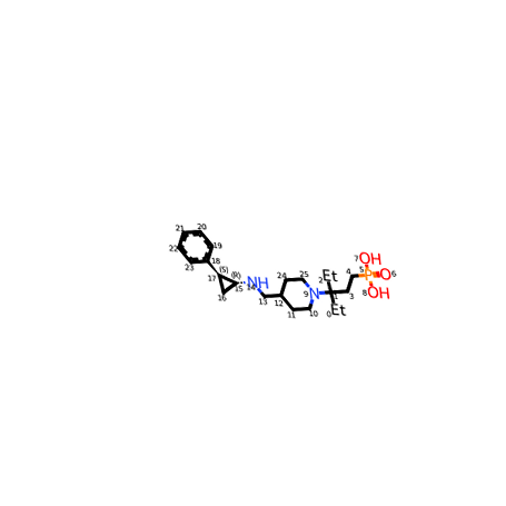 CCC(CC)(CCP(=O)(O)O)N1CCC(CN[C@@H]2C[C@H]2c2ccccc2)CC1